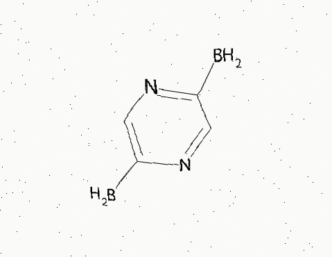 Bc1cnc(B)cn1